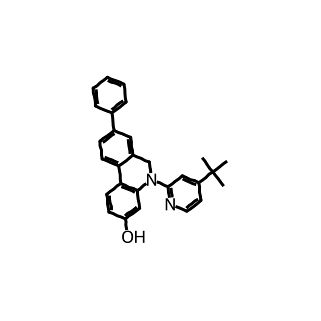 CC(C)(C)c1ccnc(N2Cc3cc(-c4ccccc4)ccc3-c3ccc(O)cc32)c1